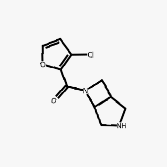 O=C(c1occc1Cl)N1CC2CNCC21